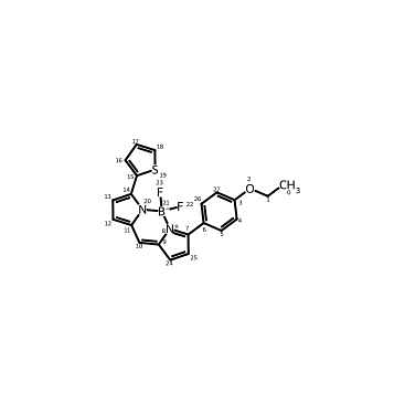 CCOc1ccc(C2=[N+]3C(=Cc4ccc(-c5cccs5)n4[B-]3(F)F)C=C2)cc1